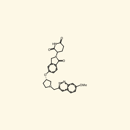 COc1ccc2cc(CN3CC[C@H](Oc4ccc5c(c4)CN(C4CCC(=O)NC4=O)C5=O)C3)nnc2c1